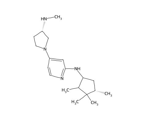 CN[C@H]1CCN(c2ccnc(NC3C[C@H](C)C(C)(C)C3C)c2)C1